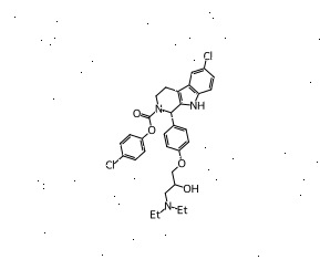 CCN(CC)CC(O)COc1ccc(C2c3[nH]c4ccc(Cl)cc4c3CCN2C(=O)Oc2ccc(Cl)cc2)cc1